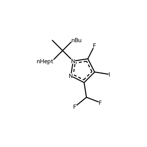 CCCCCCCC(C)(CCCC)n1nc(C(F)F)c(I)c1F